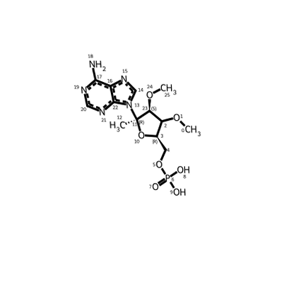 COC1[C@@H](COP(=O)(O)O)O[C@@](C)(n2cnc3c(N)ncnc32)[C@H]1OC